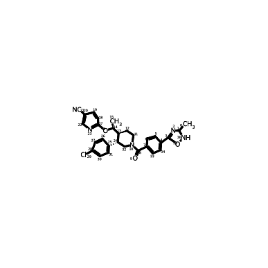 CC1N=C(c2ccc(C(=O)N3CC[C@H]([C@H](C)Oc4ccc(C#N)cn4)[C@@H](c4ccc(Cl)cc4)C3)cc2)ON1